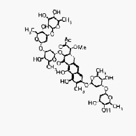 CO[C@H](C(=O)C(C)=O)[C@@H]1Cc2cc3cc(O[C@H]4C[C@@H](O[C@H]5C[C@@H](O)[C@H](O)C(C)O5)[C@H](O)C(C)O4)c(C)c(O)c3c(O)c2C(=O)[C@H]1O[C@H]1C[C@@H](O[C@H]2C[C@@H](O[C@H]3C[C@@H](O)[C@H](O)C(C)O3)[C@@H](O)C(C)O2)[C@H](O)C(C)O1